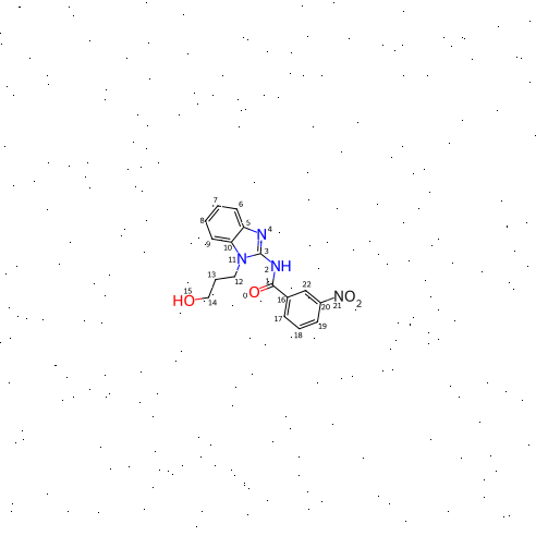 O=C(Nc1nc2c[c]ccc2n1CCCO)c1cccc([N+](=O)[O-])c1